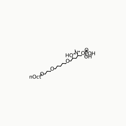 CCCCCCCCOCCCOCCCCCOCC(O)CC(COP(=O)(O)O)[N+](C)(C)C